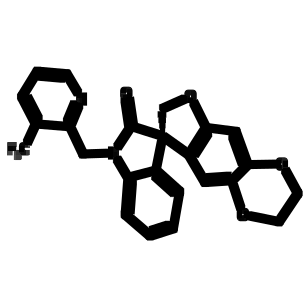 O=C1N(Cc2ncccc2C(F)(F)F)c2ccccc2[C@@]12COc1cc3c(cc12)OCCO3